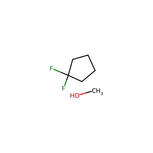 CO.FC1(F)CCCC1